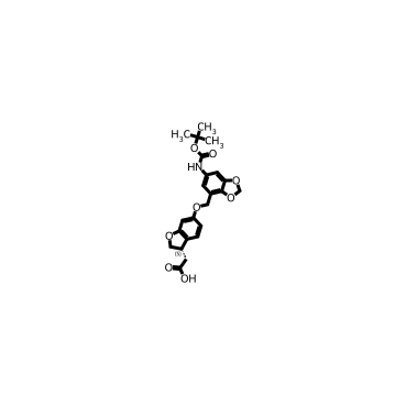 CC(C)(C)OC(=O)Nc1cc(COc2ccc3c(c2)OC[C@H]3CC(=O)O)c2c(c1)OCO2